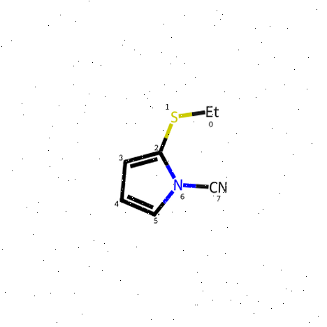 CCSc1cc[c]n1C#N